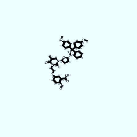 COc1ccc(C(OC[C@@H]2CC[C@H](n3cc(C)c(=O)n(CCSc4ccc(N=O)c(C(=O)O)c4)c3=O)O2)(c2ccccc2)c2ccc(OC)cc2)cc1